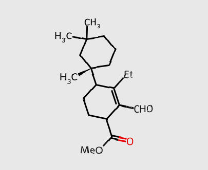 CCC1=C(C=O)C(C(=O)OC)CCC1[C@@]1(C)CCCC(C)(C)C1